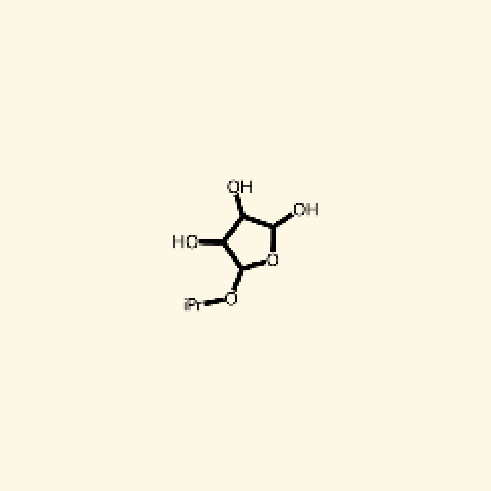 CC(C)OC1OC(O)C(O)C1O